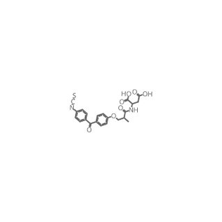 CC(COc1ccc(C(=O)c2ccc(N=C=S)cc2)cc1)C(=O)NC(CC(=O)O)C(=O)O